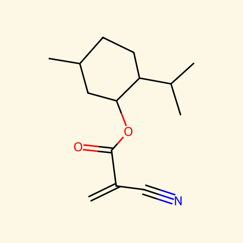 C=C(C#N)C(=O)OC1CC(C)CCC1C(C)C